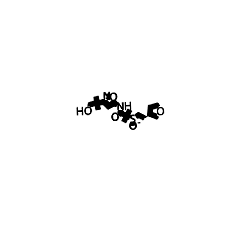 CC(C)(CO)c1cc(NC(=O)C(C)(C)[S+]([O-])CC[C@@H]2CCOC2)on1